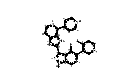 Cc1ccncc1-c1ncc2[nH]nc(-c3nc4c(-c5ccncc5)nccc4[nH]3)c2c1F